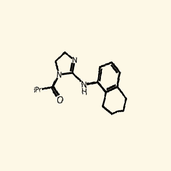 CC(C)C(=O)N1CCN=C1Nc1cccc2c1CCCC2